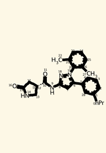 CCCc1cccc(-c2cc(NC(=O)[C@@H]3CNC(=O)C3)nn2-c2c(C)cccc2C)c1